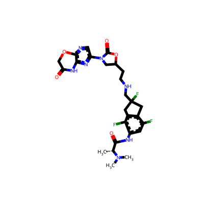 C[C@H](C(=O)Nc1cc(F)c2c(c1F)CC(F)(CNCCC1CN(c3cnc4c(n3)NC(=O)CO4)C(=O)O1)C2)N(C)C